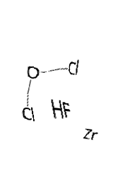 ClOCl.F.[Zr]